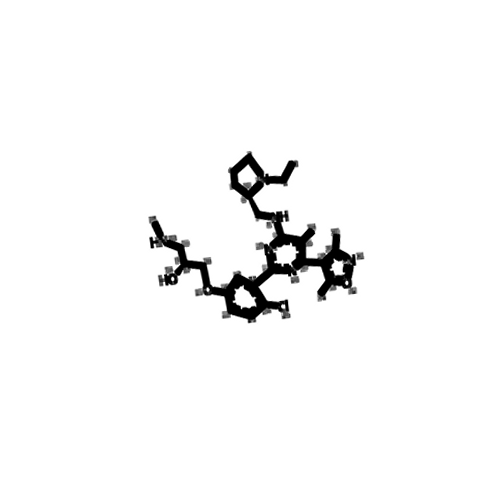 CCN1CCC[C@@H]1CNc1nc(-c2cc(OC[C@@H](O)CNC)ccc2Cl)nc(-c2c(C)noc2C)c1C